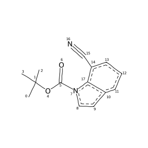 CC(C)(C)OC(=O)n1ccc2cccc(C#N)c21